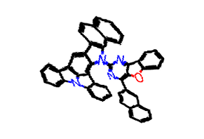 c1ccc2cc(-c3nc(-n4c5c6ccccc6ccc5c5cc6c7ccccc7n7c8ccccc8c(c54)c67)nc4c3oc3ccccc34)ccc2c1